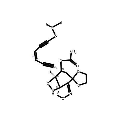 CC(=O)O[C@@]1(C#C/C=C\C#CSP(I)I)CC2(OCCO2)C2=NOC[C@@]23NO[C@@H]13